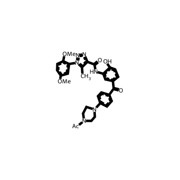 COc1ccc(OC)c(-n2nnc(C(=O)Nc3cc(C(=O)c4ccc(N5CCN(C(C)=O)CC5)cc4)ccc3O)c2C)c1